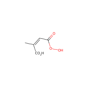 C/C(=C/C(=O)OO)C(=O)O